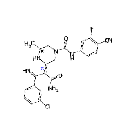 C[C@@H]1CN(C(=O)Nc2ccc(C#N)c(F)c2)C/C(=C(/C(=N)c2cccc(Cl)c2)C(N)=O)N1